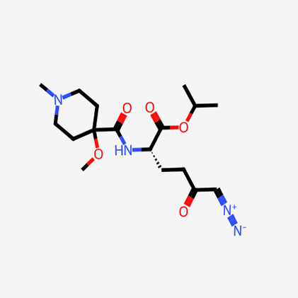 COC1(C(=O)N[C@@H](CCC(=O)C=[N+]=[N-])C(=O)OC(C)C)CCN(C)CC1